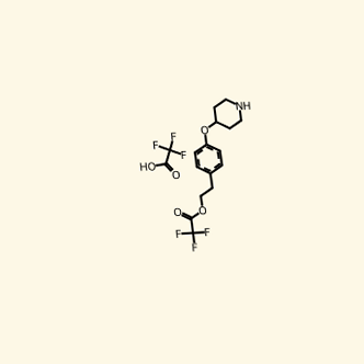 O=C(O)C(F)(F)F.O=C(OCCc1ccc(OC2CCNCC2)cc1)C(F)(F)F